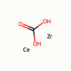 O=C(O)O.[Ce].[Zr]